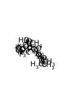 Cc1c(-c2c(C)c3c(c(C)c2CC(=O)O)CC(=O)N(C2CCN(C(=O)OC(C)(C)C)CC2)C3)cc(F)c2c1CCCO2